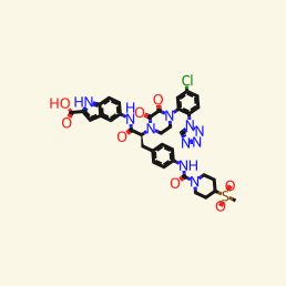 CS(=O)(=O)C1CCN(C(=O)Nc2ccc(C[C@@H](C(=O)Nc3ccc4[nH]c(C(=O)O)cc4c3)N3CCN(c4cc(Cl)ccc4-n4cnnn4)C(=O)C3=O)cc2)CC1